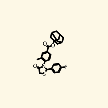 Cc1cc(C(=O)OC23CC4CC(CC(C4)C2)C3)ccc1N1C(=O)CSC1c1ccc(F)cc1